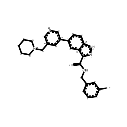 O=C(NCc1cccc(F)c1)c1n[nH]c2ccc(-c3cncc(CN4CCCCC4)c3)cc12